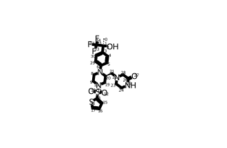 C[C@](O)(c1ccc(N2CCN(S(=O)(=O)c3cccs3)C[C@@H]2CN2CCNC(=O)C2)cc1)C(F)(F)F